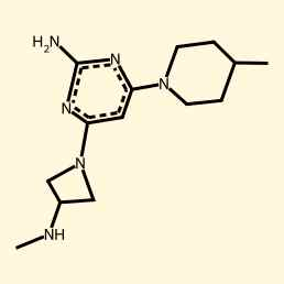 CNC1CN(c2cc(N3CCC(C)CC3)nc(N)n2)C1